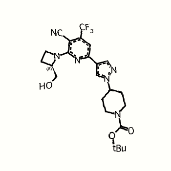 CC(C)(C)OC(=O)N1CCC(n2cc(-c3cc(C(F)(F)F)c(C#N)c(N4CC[C@@H]4CO)n3)cn2)CC1